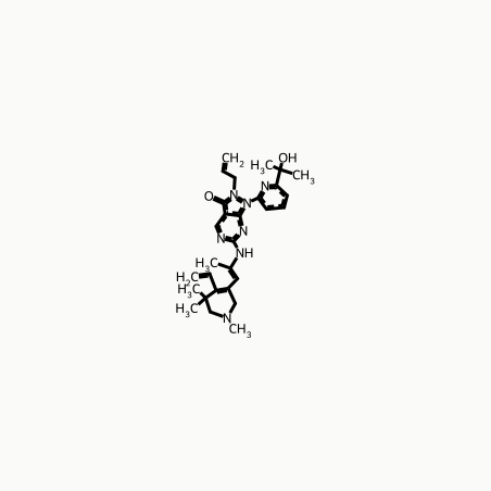 C=CCn1c(=O)c2cnc(N/C(C)=C/C3=C(C=C)C(C)(C)CN(C)C3)nc2n1-c1cccc(C(C)(C)O)n1